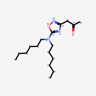 CCCCCCN(CCCCCC)c1nc(CC(C)=O)no1